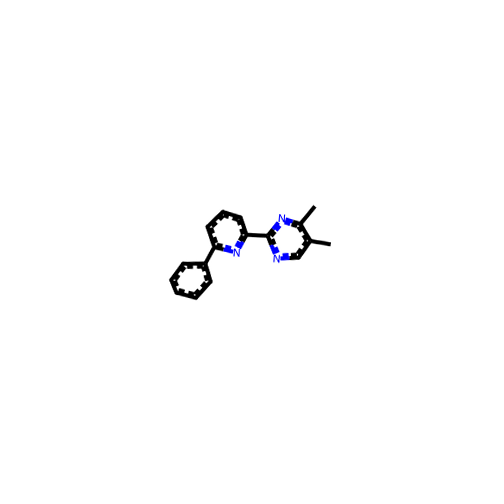 Cc1cnc(-c2cccc(-c3ccccc3)n2)nc1C